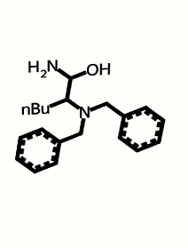 CCCCC(C(N)O)N(Cc1ccccc1)Cc1ccccc1